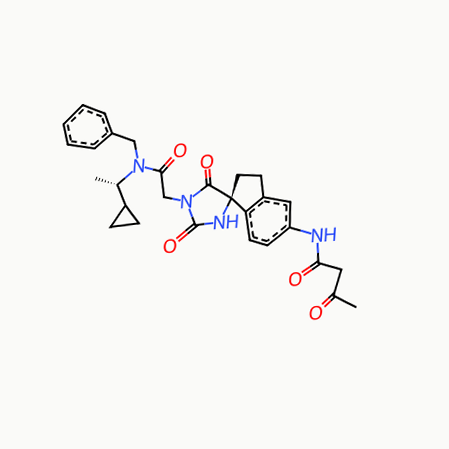 CC(=O)CC(=O)Nc1ccc2c(c1)CC[C@]21NC(=O)N(CC(=O)N(Cc2ccccc2)[C@@H](C)C2CC2)C1=O